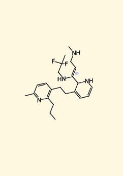 CCCc1nc(C)ccc1CCC1=CC=CNC1/C(=C/CNC)NCC(C)(F)F